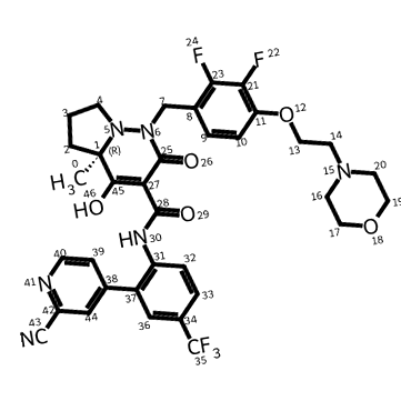 C[C@]12CCCN1N(Cc1ccc(OCCN3CCOCC3)c(F)c1F)C(=O)C(C(=O)Nc1ccc(C(F)(F)F)cc1-c1ccnc(C#N)c1)=C2O